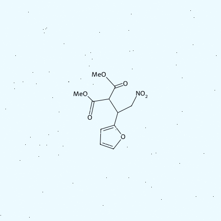 COC(=O)C(C(=O)OC)C(C[N+](=O)[O-])c1ccco1